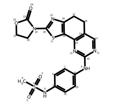 CS(=O)(=O)Nc1ccc(Nc2ncc3c(n2)-c2sc(N4CCOC4=O)nc2CC3)cc1